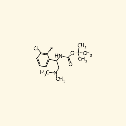 CN(C)CC(NC(=O)OC(C)(C)C)c1cccc(Cl)c1F